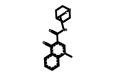 Cn1cc(C(=O)NC2CN3CCC2CC3)c(=O)c2ccccc21